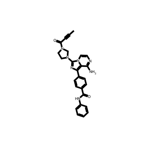 CC#CC(=O)N1CCN(c2nc(-c3ccc(C(=O)Nc4ccccc4)cc3)c3c(N)nccn23)C1